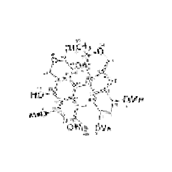 COC1=CC(OC)c2cc3c(c(-c4c5c(c(O)c6c(OC)cc(OC)cc46)COC(C)C5OC(C)=O)c2=C1)CC(C)OC=3